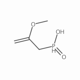 C=C(C[PH](=O)O)OC